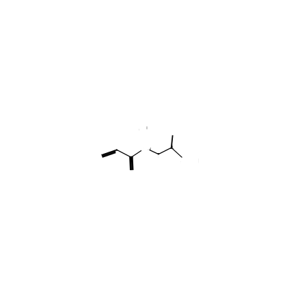 C=CC(=O)OCC(C)C(=O)O.[LiH]